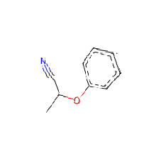 CC(C#N)Oc1cc[c]cc1